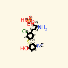 [C-]#[N+]c1ccc(O)c(Sc2ccc(CC[C@](C)(N)COP(=O)(O)O)c(Cl)c2)c1